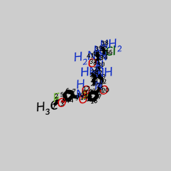 CC(F)Oc1cccc(CNS(=O)(=O)c2cccc(C(=O)N3CCC4(CC3)CN/C(=N\C(=O)c3nc(Cl)c(N)nc3N)N4)c2)c1